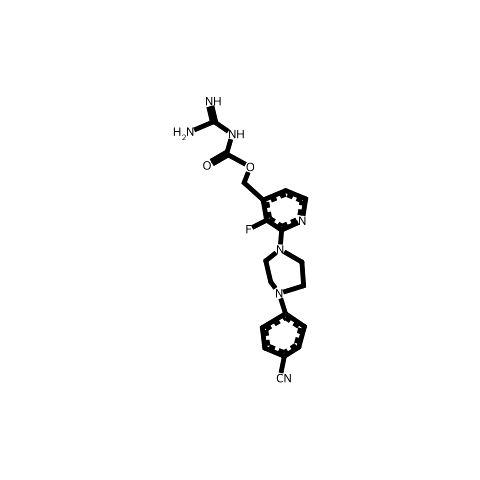 N#Cc1ccc(N2CCN(c3nccc(COC(=O)NC(=N)N)c3F)CC2)cc1